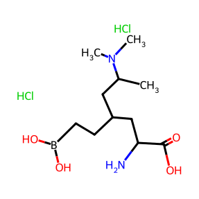 CC(CC(CCB(O)O)CC(N)C(=O)O)N(C)C.Cl.Cl